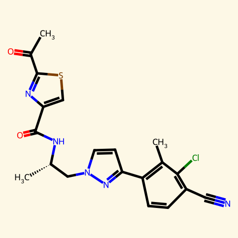 CC(=O)c1nc(C(=O)N[C@@H](C)Cn2ccc(-c3ccc(C#N)c(Cl)c3C)n2)cs1